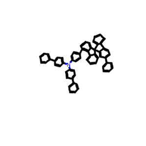 c1ccc(-c2ccc(N(c3ccc(-c4ccccc4)cc3)c3ccc(-c4cccc5c4-c4ccccc4C54c5ccccc5-c5ccc(-c6ccccc6)cc54)cc3)cc2)cc1